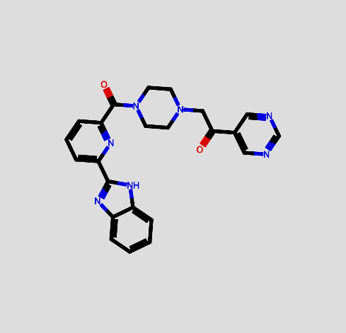 O=C(CN1CCN(C(=O)c2cccc(-c3nc4ccccc4[nH]3)n2)CC1)c1cncnc1